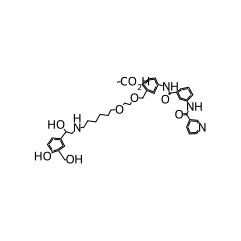 CC(=O)O.O=C(Nc1cccc(C(=O)Nc2cccc(COCCOCCCCCCNC[C@H](O)c3ccc(O)c(CO)c3)c2)c1)c1cccnc1